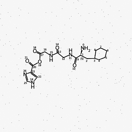 N[C@@H](CC1CCCCC1)C(=O)NCC(=O)NCC(=O)OC(=O)c1c[nH]cn1